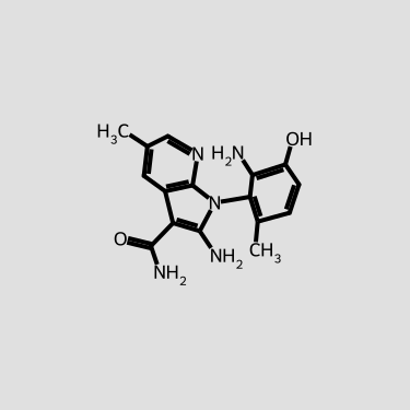 Cc1cnc2c(c1)c(C(N)=O)c(N)n2-c1c(C)ccc(O)c1N